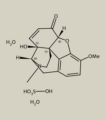 COc1ccc2c3c1O[C@H]1C(=O)C=C[C@@]4(O)[C@@H](C2)N(C)CC[C@]314.O.O.O=S(=O)(O)O